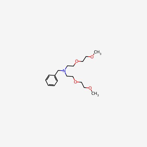 COCCOCCN(CCOCCOC)Cc1ccccc1